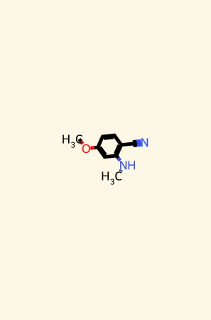 CNc1cc(OC)ccc1C#N